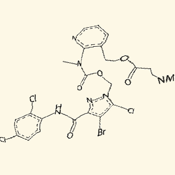 CNCC(=O)OCc1cccnc1N(C)C(=O)OCn1nc(C(=O)Nc2ccc(Cl)cc2Cl)c(Br)c1Cl